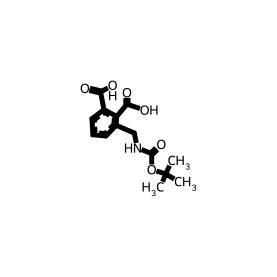 CC(C)(C)OC(=O)NCc1cccc(C(=O)O)c1C(=O)O